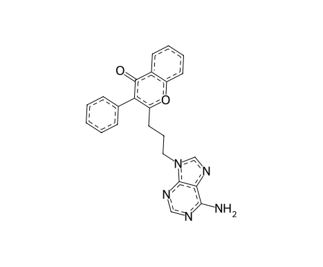 Nc1ncnc2c1ncn2CCCc1oc2ccccc2c(=O)c1-c1ccccc1